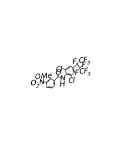 COc1c(C(=O)Nc2c(Cl)cc(C(F)(C(F)(F)F)C(F)(F)C(F)(F)F)cc2Cl)cccc1[N+](=O)[O-]